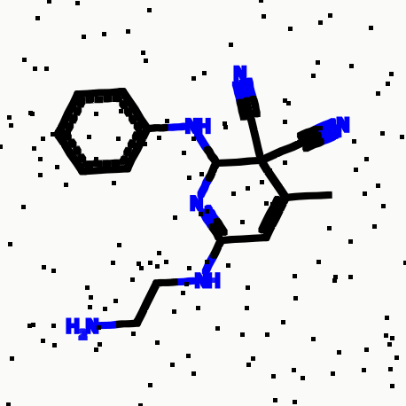 CC1=CC(NCCN)=NC(Nc2ccccc2)C1(C#N)C#N